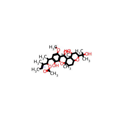 C/C=C(\C)C(OC(C)=O)C(C)c1cc(OC)c2c(c1O)OC1(C)CCC3OC(C(C)(C)O)CC(O)C3(C)C1C2O